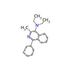 CCN(CC)c1c(C)nc(-c2ccccc2)c2ccccc12